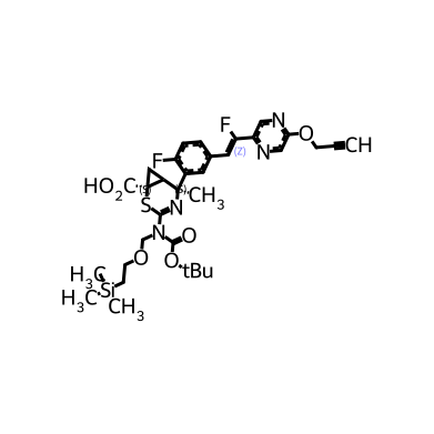 C#CCOc1cnc(/C(F)=C/c2ccc(F)c([C@@]3(C)N=C(N(COCC[Si](C)(C)C)C(=O)OC(C)(C)C)S[C@@]4(C(=O)O)CC43)c2)cn1